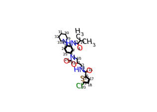 CC(C)C(=O)Nc1cc(N2CC(CNC(=O)c3ccc(Cl)s3)OC2=O)ccc1N1CCCCC1